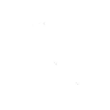 C[C@H](O)CCCCCNCC1CCN(C)CC1